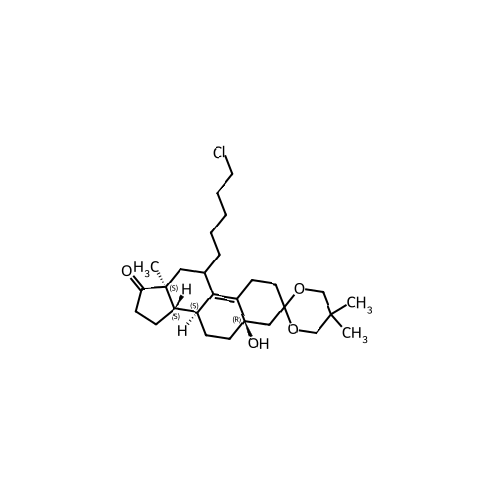 CC1(C)COC2(CCC3=C4C(CCCCCCl)C[C@]5(C)C(=O)CC[C@H]5[C@@H]4CC[C@@]3(O)C2)OC1